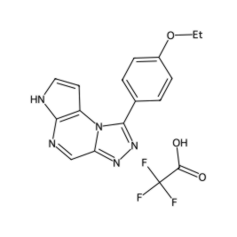 CCOc1ccc(-c2nnc3cnc4[nH]ccc4n23)cc1.O=C(O)C(F)(F)F